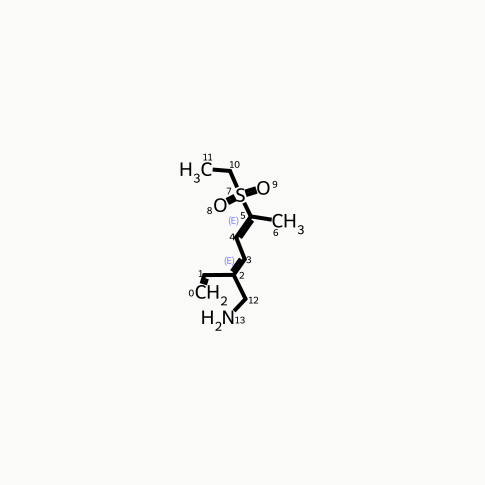 C=C/C(=C\C=C(/C)S(=O)(=O)CC)CN